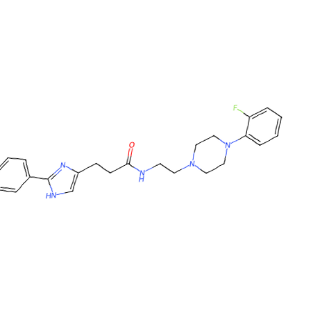 O=C(CCc1c[nH]c(-c2ccccc2)n1)NCCN1CCN(c2ccccc2F)CC1